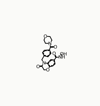 O=C(NO)c1ccc2c(c1)N(Cc1ccc(C(=O)N3CCOCC3)cc1)C(=O)CO2